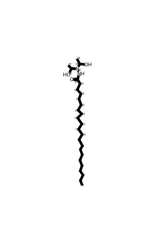 CCCCCCCCCCCCCCCCCCCCCC(=O)NN(C(C)O)C(C)O